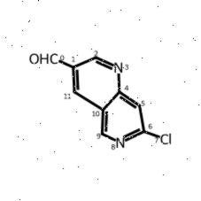 O=Cc1cnc2cc(Cl)ncc2c1